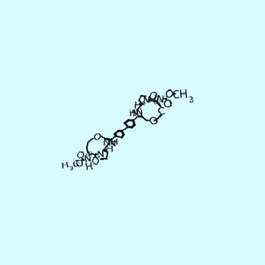 COC(=O)N[C@H]1CCCCOCc2[nH]c(nc2-c2ccc(-c3ccc(-c4nc5[nH]c4COCCCC[C@H](NC(=O)OC)C(=O)N4CCC[C@@H]54)cc3)cc2)[C@@H]2CCCN2C1=O